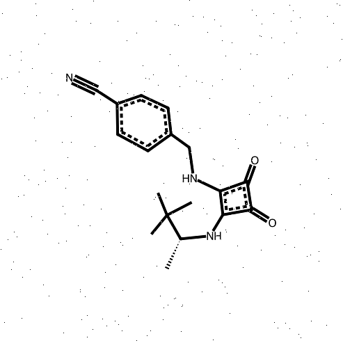 C[C@@H](Nc1c(NCc2ccc(C#N)cc2)c(=O)c1=O)C(C)(C)C